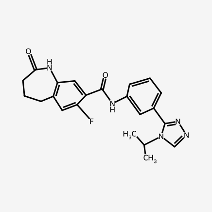 CC(C)n1cnnc1-c1cccc(NC(=O)c2cc3c(cc2F)CCCC(=O)N3)c1